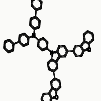 c1ccc(-c2ccc(N(c3ccc(-c4ccccc4)cc3)c3ccc(-n4c5ccc(-c6ccc7oc8ccccc8c7c6)cc5c5cc(-c6ccc7oc8ccccc8c7c6)ccc54)cc3)cc2)cc1